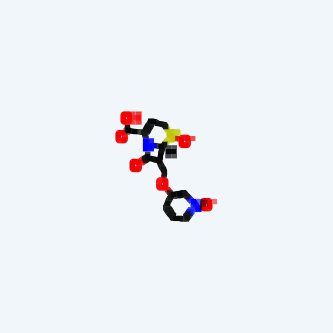 O=C(O)C1=CC[S+]([O-])[C@H]2C(COc3ccc[n+]([O-])c3)C(=O)N12